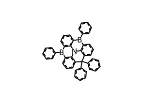 c1ccc(B2c3cccc4c3N3c5c2cccc5C(c2ccccc2)(c2ccccc2)c2cccc(c23)B4c2ccccc2)cc1